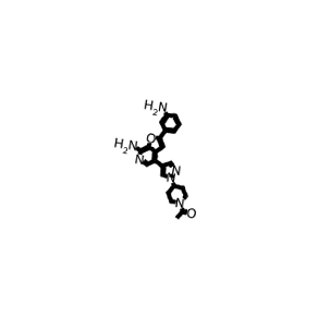 CC(=O)N1CCC(n2cc(-c3cnc(N)c4oc(-c5cccc(N)c5)cc34)cn2)CC1